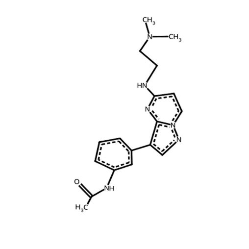 CC(=O)Nc1cccc(-c2cnn3ccc(NCCN(C)C)nc23)c1